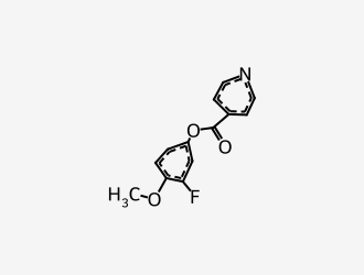 COc1ccc(OC(=O)c2ccncc2)cc1F